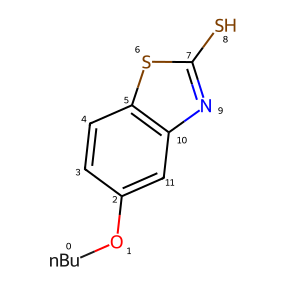 CCCCOc1ccc2sc(S)nc2c1